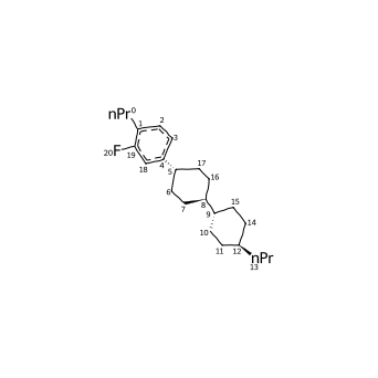 CCCc1ccc([C@H]2CC[C@H]([C@H]3CC[C@H](CCC)CC3)CC2)cc1F